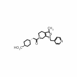 Cc1nn(Cc2ccncc2)c2c1CCN(C(=O)C[C@H]1CC[C@H](C(=O)O)CC1)C2